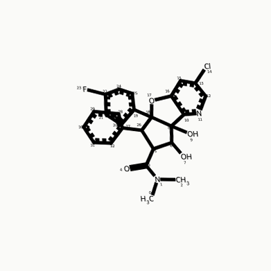 CN(C)C(=O)C1C(O)C2(O)c3ncc(Cl)cc3OC2(c2ccc(F)cc2)C1c1ccccc1